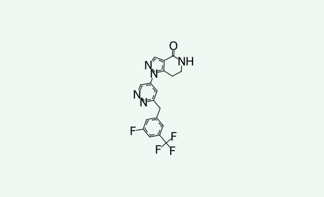 O=C1NCCc2c1cnn2-c1cnnc(Cc2cc(F)cc(C(F)(F)F)c2)c1